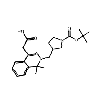 CC(C)(C)OC(=O)N1CCC(CN2N=C(CC(=O)O)c3ccccc3C2(C)C)C1